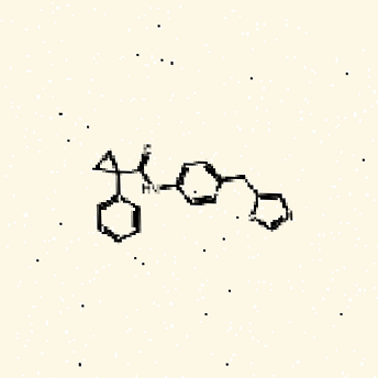 O=C(Nc1ccc(Cc2cncs2)cc1)C1(c2ccccc2)CC1